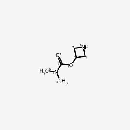 CN(C)C(=O)OC1CNC1